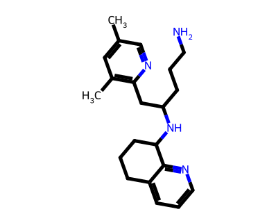 Cc1cnc(CC(CCCN)NC2CCCc3cccnc32)c(C)c1